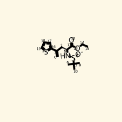 C=C(C[C@H](N[S+]([O-])C(C)(C)C)C(=O)OCC)c1cccs1